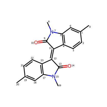 Cc1ccc2c(c1)N(C)C(=O)/C2=C1/C(=O)N(C)c2cc(C)ccc21